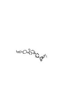 Cn1cc(-c2ccc(N3CCC[C@@]4(CCN(C5CCC(O)CC5)C4=O)C3)nc2)cn1